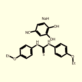 CCOc1ccc(NC(=S)Nc2ccc(OCC)cc2)cc1.N#Cc1ccc(O)c(O)c1.[NaH]